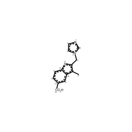 Cc1c(Cn2ccnc2)sc2ccc(C(=O)O)cc12